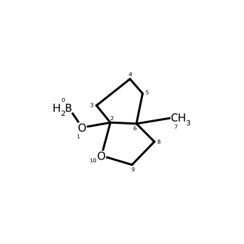 BOC12CCCC1(C)CCO2